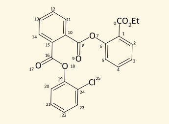 CCOC(=O)c1ccccc1OC(=O)c1ccccc1C(=O)Oc1ccccc1Cl